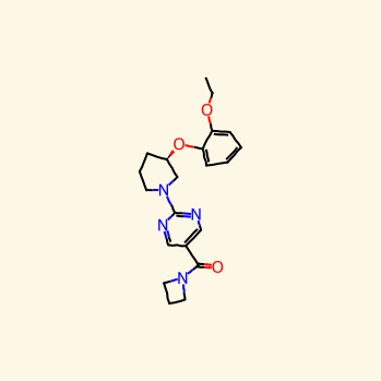 CCOc1ccccc1O[C@@H]1CCCN(c2ncc(C(=O)N3CCC3)cn2)C1